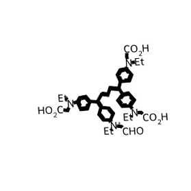 CCN(CC(=O)O)c1ccc(C(=C/C=C/C(=C2C=CC(=[N+](CC)CC=O)C=C2)c2ccc(N(CC)CC(=O)O)cc2)c2ccc(N(CC)CC(=O)O)cc2)cc1